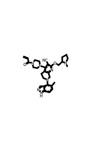 C=CC(=O)N1CCN(c2c(C#N)c(OCC3CCCN3C)nc3c2CCN(c2c(C)ccc4[nH]ncc24)C3)CC1